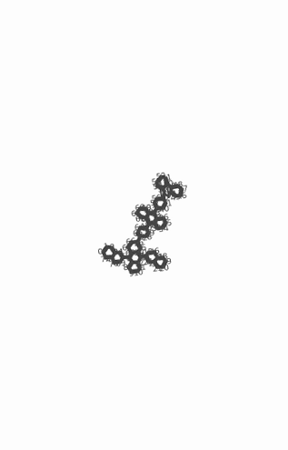 c1ccc2cc(-c3c4ccccc4c(-c4ccc5ccccc5c4)c4cc(-c5ccc(-c6c7ccccc7c(-c7ccc(-n8c9ccccc9c9ccccc98)cc7)c7ccccc67)cc5)ccc34)ccc2c1